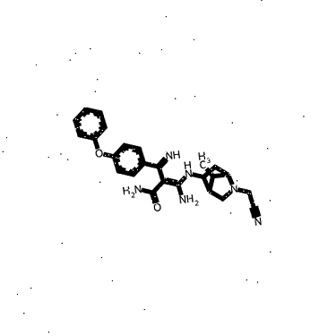 CC1C2CN(CC#N)C1CC2N/C(N)=C(\C(=N)c1ccc(Oc2ccccc2)cc1)C(N)=O